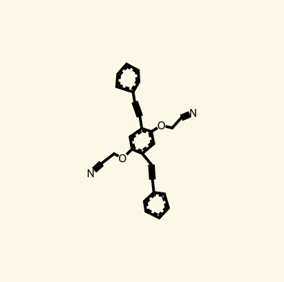 N#CCOc1cc(C#Cc2ccccc2)c(OCC#N)cc1C#Cc1ccccc1